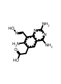 Nc1nc(N)c2cc(CC(=O)O)c(N)c(/C=N/O)c2n1